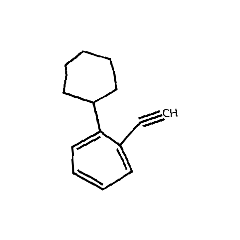 C#Cc1ccccc1C1CCCCC1